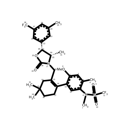 COc1cc(C)c(N(C)S(=O)(=O)C(F)(F)F)cc1C1=C(CN2C(=O)O[C@H](c3cc(C)cc(C(F)(F)F)c3)[C@@H]2C)CC(C)(C)CC1